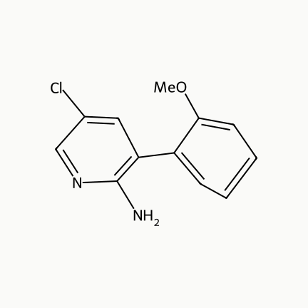 COc1ccccc1-c1cc(Cl)cnc1N